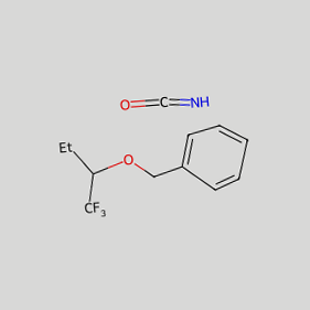 CCC(OCc1ccccc1)C(F)(F)F.N=C=O